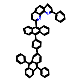 c1ccc(-c2ccc3ccc4ccc(-c5c6ccccc6c(-c6ccc(-c7ccc8c(-c9ccccc9)c9ccccc9c(-c9ccccc9)c8c7)cc6)c6ccccc56)nc4c3n2)cc1